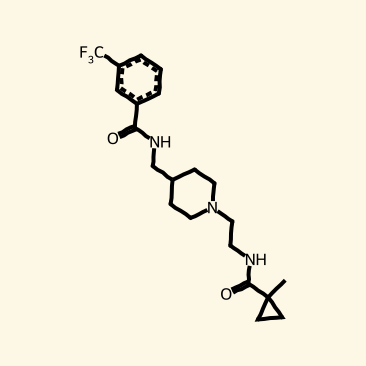 CC1(C(=O)NCCN2CCC(CNC(=O)c3cccc(C(F)(F)F)c3)CC2)CC1